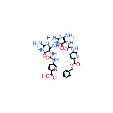 Nc1nc(N)c(NC(=O)Nc2ccc(C(=O)O)nc2)c(=O)[nH]1.Nc1nc(N)c(NC(=O)Nc2ccc(C(=O)OCc3ccccc3)nc2)c(=O)[nH]1